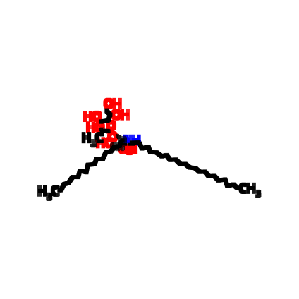 CCCCCCCCCCCCCCCCCCCCCCCC(=O)N[C@@H](COC(OC(CO)C(O)CO)C(C)O)[C@H](O)[C@H](O)CCCCCCCCCCCCCC